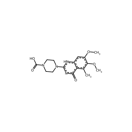 COc1cc2[nH]c(N3CCN(C(=O)O)CC3)nc(=O)c2c(C)c1OC